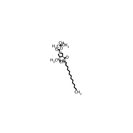 CCCCCCCCCCCCCCNC(=O)[C@@H]1CN(C(=O)OC(C)(C)C)C[C@H]1N(C)C